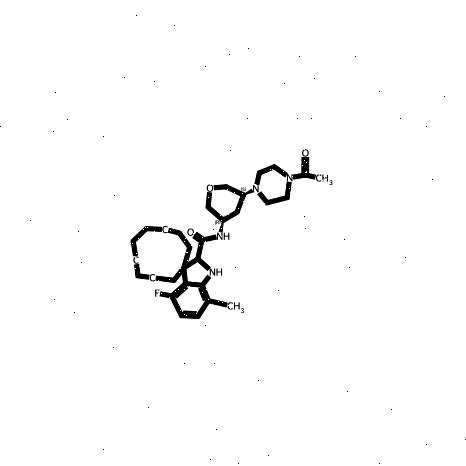 CC(=O)N1CCN([C@@H]2COC[C@H](NC(=O)C3Nc4c(C)ccc(F)c4C34CCCCCCCCC4)C2)CC1